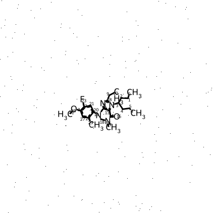 CCCC(CCC)n1c(CC)nc2c1C(=O)N(C)CN2c1cc(F)c(OC)cc1C